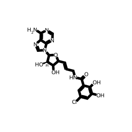 Nc1ncnc2c1ncn2C1OC(C=CCNC(=O)c2cc(Cl)cc(O)c2O)C(O)[C@H]1O